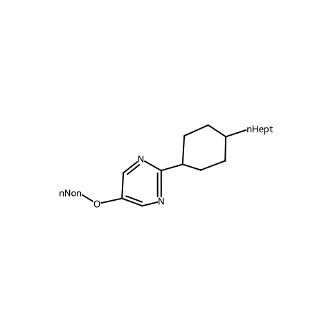 CCCCCCCCCOc1cnc(C2CCC(CCCCCCC)CC2)nc1